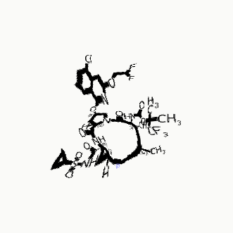 C[C@H]1CC/C=C\[C@@H]2C[C@@]2(C(=O)NS(=O)(=O)C2CC2)NC(=O)[C@@H]2C[C@@H](Oc3nc(OCC(F)F)cc4c(Cl)cccc34)CN2C(=O)[C@@H](NC(=O)OC(C)(C)C(F)(F)F)[C@H](C)C1